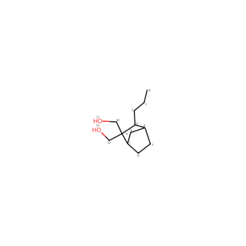 CCCC1C2CCC(C2)C1(CO)CO